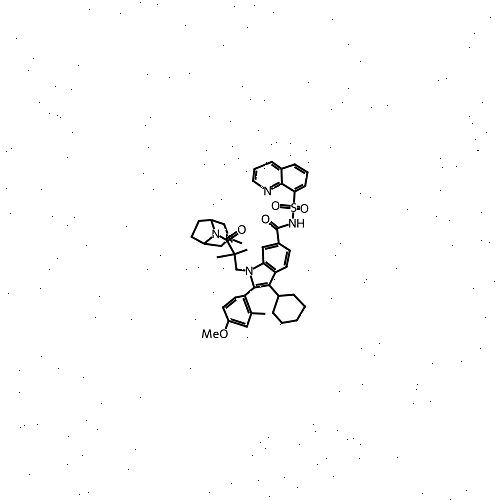 COc1ccc(-c2c(C3CCCCC3)c3ccc(C(=O)NS(=O)(=O)c4cccc5cccnc45)cc3n2CC(C)(C)C(=O)N2C3CCC2CN(C)C3)c(C)c1